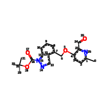 Cc1ccc(OCc2cccc3c2cnn3C(=O)OC(C)(C)C)c(C=O)n1